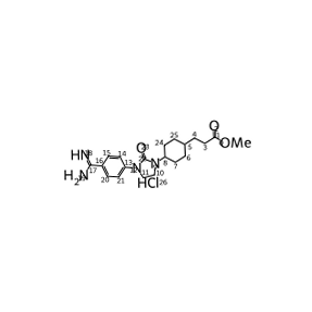 COC(=O)CCC1CCC(N2CCN(c3ccc(C(=N)N)cc3)C2=O)CC1.Cl